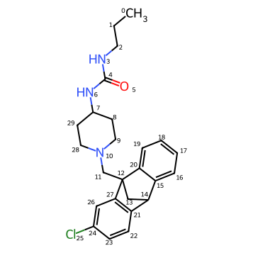 CCCNC(=O)NC1CCN(CC23CC(c4ccccc42)c2ccc(Cl)cc23)CC1